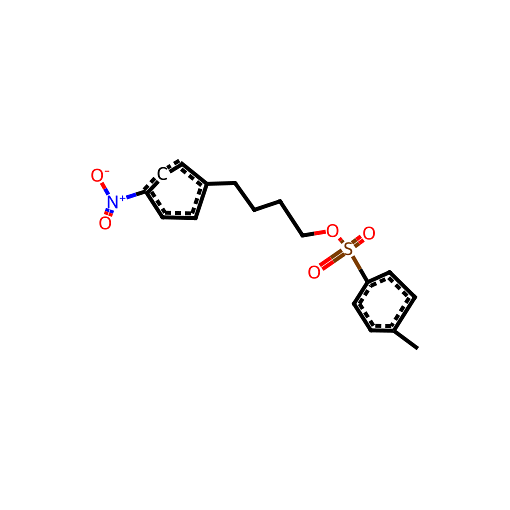 Cc1ccc(S(=O)(=O)OCCCCc2ccc([N+](=O)[O-])cc2)cc1